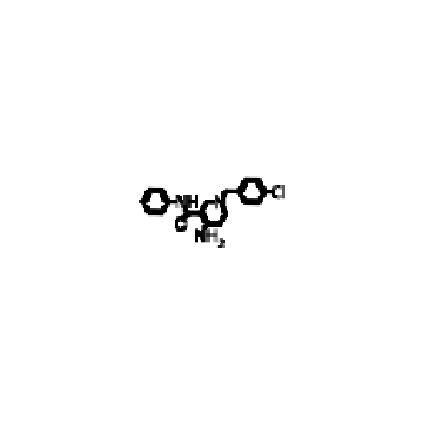 NC1=C(C(=O)Nc2ccccc2)CN(Cc2ccc(Cl)cc2)CC1